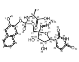 COc1cc2ccccc2cc1OP(=O)(N[C@@H](C)C(=O)O)OC[C@@]1(N=[N+]=[N-])O[C@@H](n2ccc(=O)[nH]c2=O)[C@H](O)[C@@H]1O